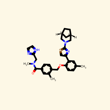 Cc1ccc(OCc2ccc(C(=O)N(C)Cc3ncc[nH]3)cc2C)c(-c2csc(N3C[C@@H]4CC[C@@H](C4)C3)n2)c1